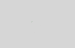 ClSC(Br)(Br)Br